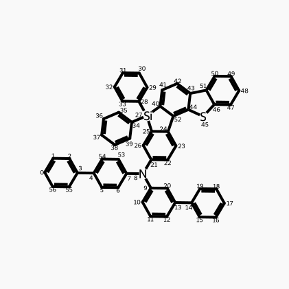 c1ccc(-c2ccc(N(c3cccc(-c4ccccc4)c3)c3ccc4c(c3)[Si](c3ccccc3)(c3ccccc3)c3ccc5c(sc6ccccc65)c3-4)cc2)cc1